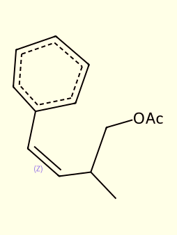 CC(=O)OCC(C)/C=C\c1ccccc1